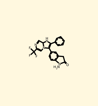 NN1C(=O)Cc2cc(C3=C(c4ccccc4)NC4C=NC(C(F)(F)F)=CN34)ccc21